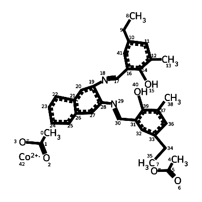 CC(=O)[O-].CC(=O)[O-].CCc1cc(C)c(O)c(C=Nc2cc3ccccc3cc2N=Cc2cc(CC)cc(C)c2O)c1.[Co+2]